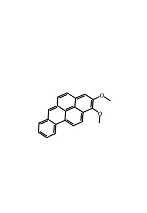 COc1cc2ccc3cc4ccccc4c4ccc(c1OC)c2c34